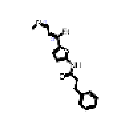 CC/C(=C\C=N/C)c1ccc(NC(=O)CCc2ccccc2)s1